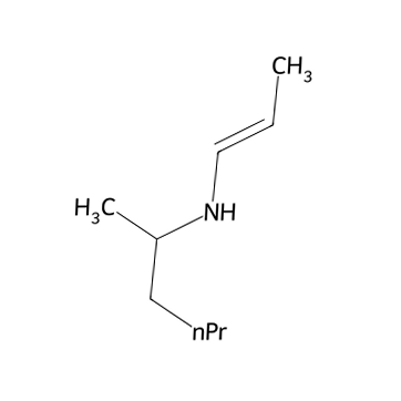 CC=CNC(C)CCCC